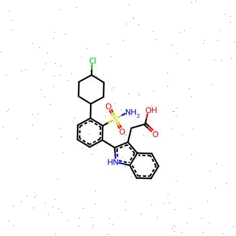 NS(=O)(=O)c1c(-c2[nH]c3ccccc3c2CC(=O)O)cccc1C1CCC(Cl)CC1